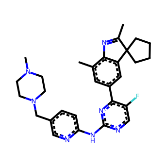 CC1=Nc2c(C)cc(-c3nc(Nc4ccc(CN5CCN(C)CC5)cn4)ncc3F)cc2C12CCCC2